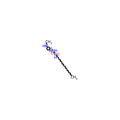 CCC=CCC=CCC=CCC=CCC=CCCCC(=O)NCC(=O)Nc1nc2c(s1)CC(NCCC)CC2